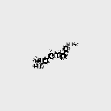 [2H]C([2H])([2H])N(C(=O)c1ccc(C2CCN(Cc3cc4c(-c5ccc(NC(C)=O)nc5)ccnc4n3C)[C@H](C)C2)cc1)C([2H])([2H])[2H]